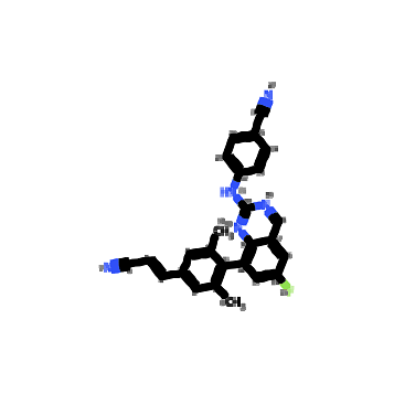 Cc1cc(C=CC#N)cc(C)c1-c1cc(F)cc2cnc(Nc3ccc(C#N)cc3)nc12